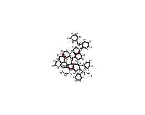 CC1(c2ccccc2)c2ccccc2-c2c(-c3ccccc3N(c3ccccc3-c3ccc4c5ccccc5n(-c5ccccc5)c4c3)c3ccccc3-c3cccc4cccc(C5CCCCC5)c34)cccc21